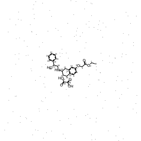 CCOC(=O)COc1ccc2c(c1)CC(NCC(O)c1ccccc1)CC2.O=C(O)C(=O)O